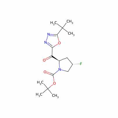 CC(C)(C)OC(=O)N1C[C@@H](F)C[C@@H]1C(=O)c1nnc(C(C)(C)C)o1